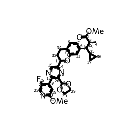 COC(=O)[C@@H](C)[C@H](c1ccc2c(c1)OC(c1cnc(-c3cc(OC)ncc3F)c(C3OCCO3)n1)CC2)C1CC1